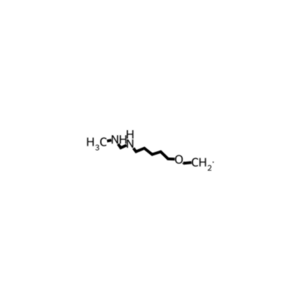 [CH2]COCCCCCNCNC